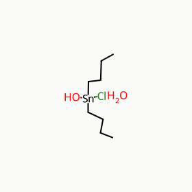 CCC[CH2][Sn]([OH])([Cl])[CH2]CCC.O